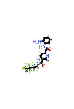 Nc1ccccc1NC(=O)c1ccc(C(=O)NCC(F)(F)C(F)(F)C(F)(F)F)cn1